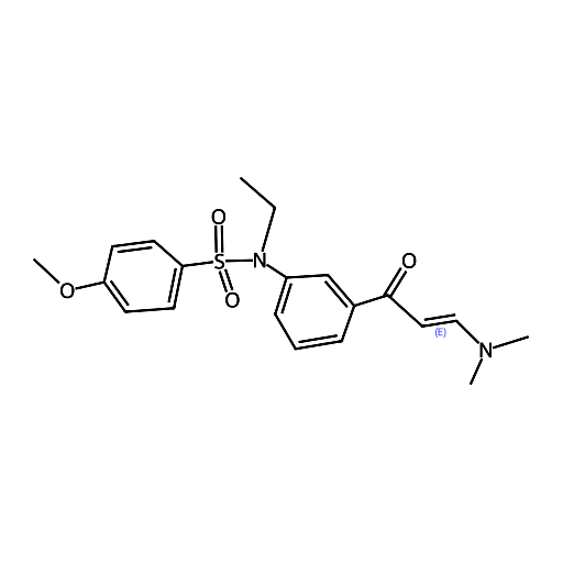 CCN(c1cccc(C(=O)/C=C/N(C)C)c1)S(=O)(=O)c1ccc(OC)cc1